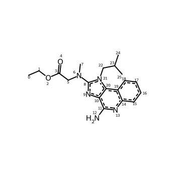 CCOC(=O)CN(C)c1nc2c(N)nc3ccccc3c2n1CC(C)C